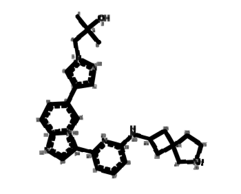 CC(C)(O)Cn1cc(-c2ccc3ncc(-c4cccc(NC5CC6(CCNC6)C5)n4)n3c2)cn1